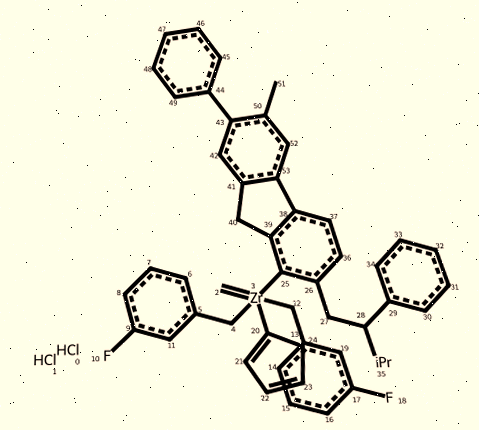 Cl.Cl.[CH2]=[Zr]([CH2]c1cccc(F)c1)([CH2]c1cccc(F)c1)([C]1=CC=CC1)[c]1c(CC(c2ccccc2)C(C)C)ccc2c1Cc1cc(-c3ccccc3)c(C)cc1-2